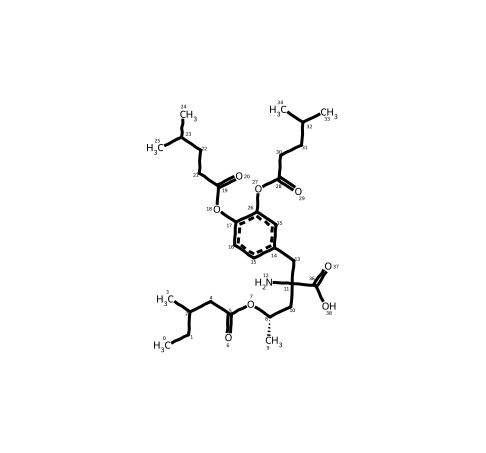 CCC(C)CC(=O)O[C@@H](C)CC(N)(Cc1ccc(OC(=O)CCC(C)C)c(OC(=O)CCC(C)C)c1)C(=O)O